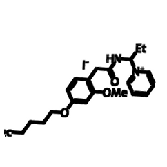 CCCCCCCCCCCCCCOc1ccc(CC(=O)NC(CC)[n+]2ccccc2)c(OC)c1.[I-]